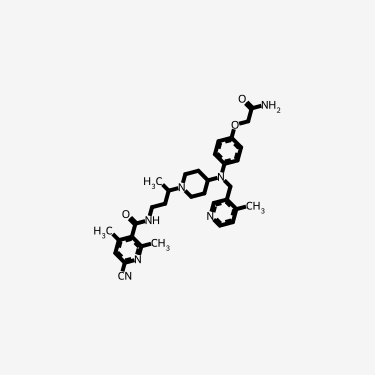 Cc1ccncc1CN(c1ccc(OCC(N)=O)cc1)C1CCN(C(C)CCNC(=O)c2c(C)cc(C#N)nc2C)CC1